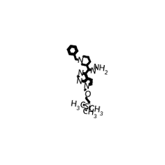 C[Si](C)(C)CCOCn1ccc2c(C(=NN)C3CCCN(Cc4ccccc4)C3)ncnc21